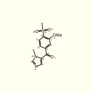 COc1cc(C(=O)c2cncn2C)ccc1S(C)(=O)=O